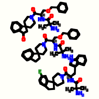 CC(C)(N)C(=O)N[C@H](COCc1ccccc1)C(=O)N1CCC2(CC1)CC(=O)c1ccccc12.CC(C)(N)C(=O)N[C@H](COCc1ccccc1)C(=O)N1CCC2(CCc3ccccc32)CC1.CC(C)(N)C(=O)N[C@H](Cc1c[nH]c2ccccc12)C(=O)N1CCC2(CCc3ccc(F)cc32)CC1